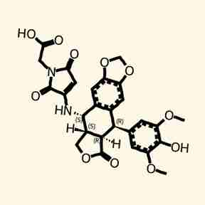 COc1cc([C@@H]2c3cc4c(cc3[C@@H](NC3=CC(=O)N(CC(=O)O)C3=O)[C@H]3COC(=O)[C@H]23)OCO4)cc(OC)c1O